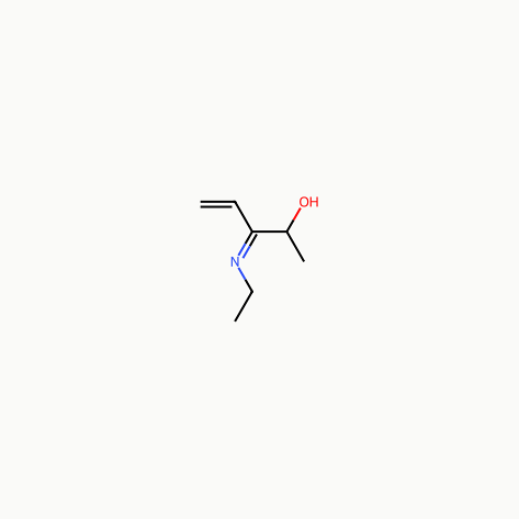 C=CC(=NCC)C(C)O